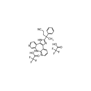 CC(CCC#N)(c1ccccc1)c1nc2c([nH]1)-c1ccncc1Nc1ncccc1-2.O=C(O)C(F)(F)F.O=C(O)C(F)(F)F